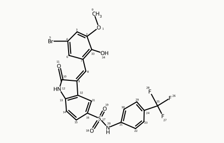 COc1cc(Br)cc(C=C2C(=O)Nc3ccc(S(=O)(=O)Nc4ccc(C(F)(F)F)cc4)cc32)c1O